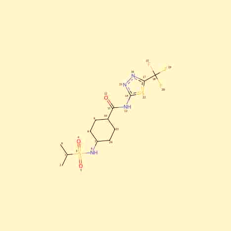 CC(C)S(=O)(=O)NC1CCC(C(=O)Nc2nnc(C(F)(F)F)s2)CC1